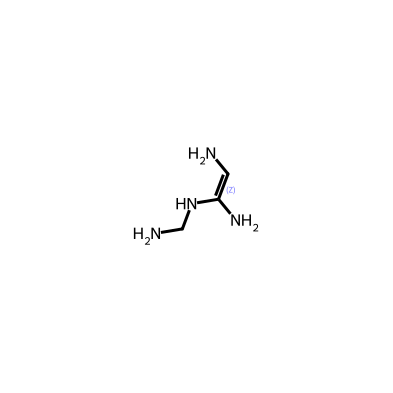 N/C=C(/N)NCN